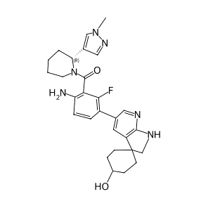 Cn1cc([C@H]2CCCCN2C(=O)c2c(N)ccc(-c3cnc4c(c3)C3(CCC(O)CC3)CN4)c2F)cn1